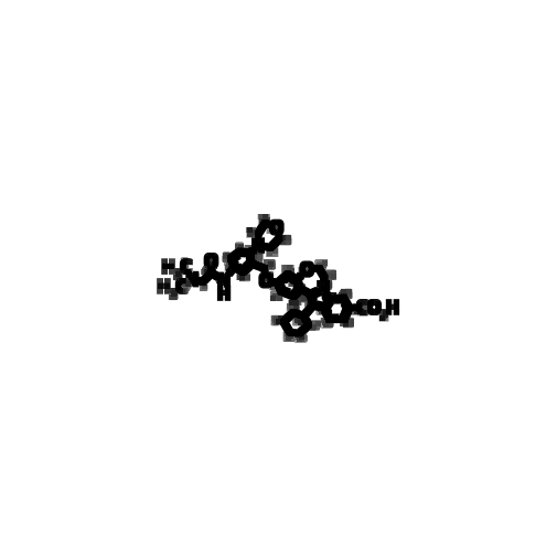 CN(C)CC(=O)Nc1ccc(N2CCOCC2)c(COc2ccc3c(c2)OCCn2c-3c(C3CCCCC3)c3ccc(C(=O)O)cc32)c1